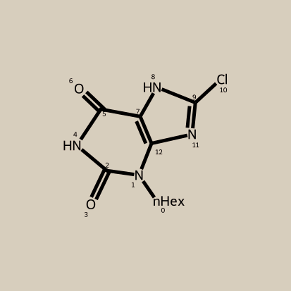 CCCCCCn1c(=O)[nH]c(=O)c2[nH]c(Cl)nc21